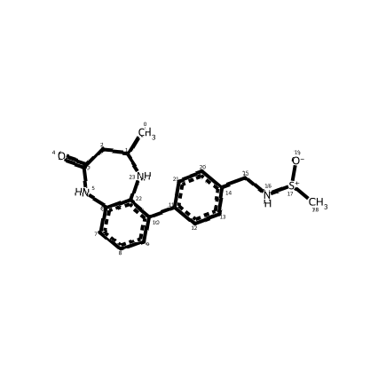 CC1CC(=O)Nc2cccc(-c3ccc(CN[S+](C)[O-])cc3)c2N1